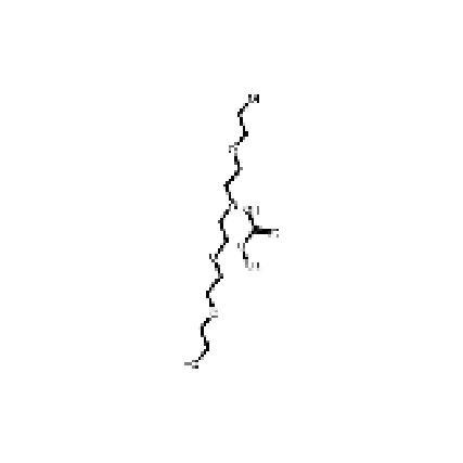 COC(=O)O.OCCOCCOCCOCCOCCO